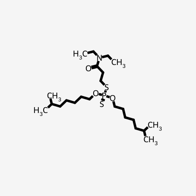 CCN(CC)C(=O)CCSP(=S)(OCCCCCC(C)C)OCCCCCC(C)C